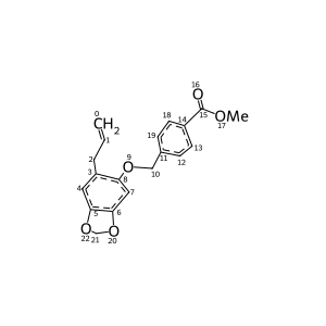 C=CCc1cc2c(cc1OCc1ccc(C(=O)OC)cc1)OCO2